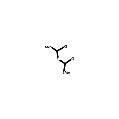 CSC(Cl)OC(Cl)SC